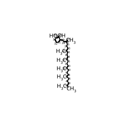 CC(C)=CCC/C(C)=C/CC/C(C)=C/CC/C(C)=C/CC/C(C)=C/CC/C(C)=C/Cc1cccc(O)c1O